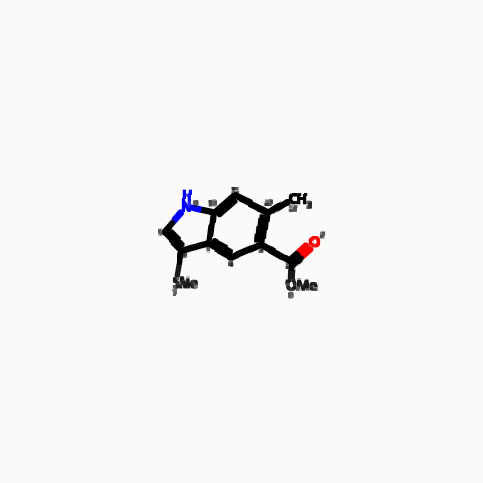 COC(=O)c1cc2c(SC)c[nH]c2cc1C